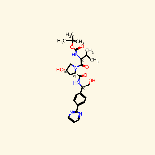 CC(C)[C@H](NC(=O)OC(C)(C)C)C(=O)N1C[C@H](O)C[C@H]1C(=O)N[C@@H](CO)c1ccc(-c2ncccn2)cc1